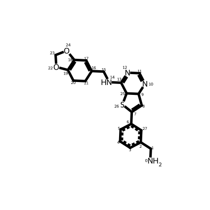 NCc1cccc(C2=CC3N=CN=C(NCC4=CC5=C(CC4)OCO5)C3S2)c1